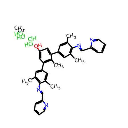 Cc1cc(-c2cc(O)cc(-c3cc(C)c(N=Cc4ccccn4)c(C)c3)c2C)cc(C)c1N=Cc1ccccn1.Cl.Cl.Cl.Cl.[Cu].[Cu]